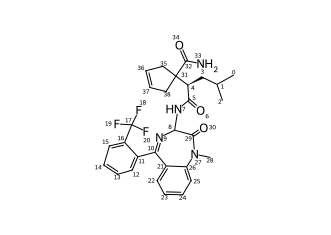 CC(C)C[C@@H](C(=O)NC1N=C(c2ccccc2C(F)(F)F)c2ccccc2N(C)C1=O)C1(C(N)=O)CC=CC1